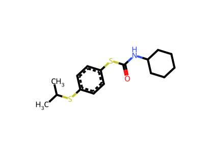 CC(C)Sc1ccc(SC(=O)NC2CCCCC2)cc1